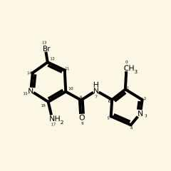 Cc1cnccc1NC(=O)c1cc(Br)cnc1N